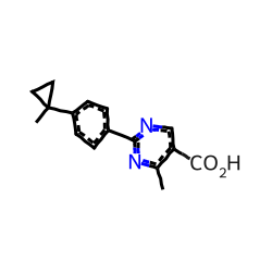 Cc1nc(-c2ccc(C3(C)CC3)cc2)ncc1C(=O)O